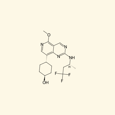 COc1ncc([C@H]2CC[C@H](O)CC2)c2nc(N[C@H](C)CC(F)(F)F)ncc12